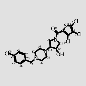 O=C(c1sc(Cl)c(Cl)c1Cl)N1CC(O)C(N2CCN(Cc3ccc(Cl)cc3)CC2)C1